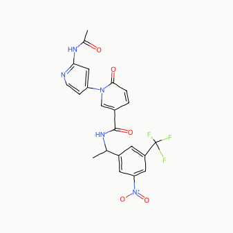 CC(=O)Nc1cc(-n2cc(C(=O)NC(C)c3cc([N+](=O)[O-])cc(C(F)(F)F)c3)ccc2=O)ccn1